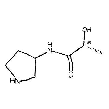 C[C@@H](O)C(=O)NC1CCNC1